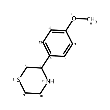 COc1ccc(C2CSCCN2)cc1